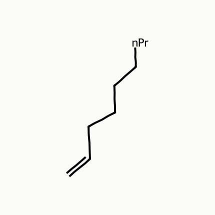 [CH2]CCCCCCC=C